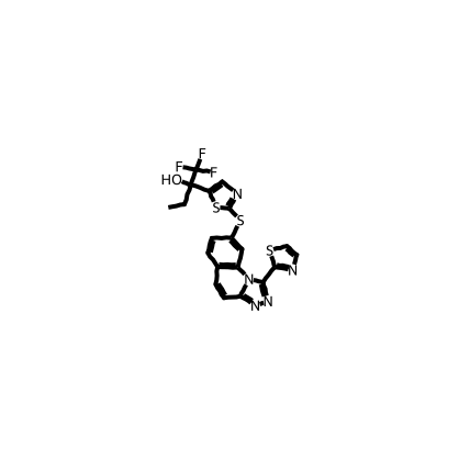 CCC(O)(c1cnc(Sc2ccc3ccc4nnc(-c5nccs5)n4c3c2)s1)C(F)(F)F